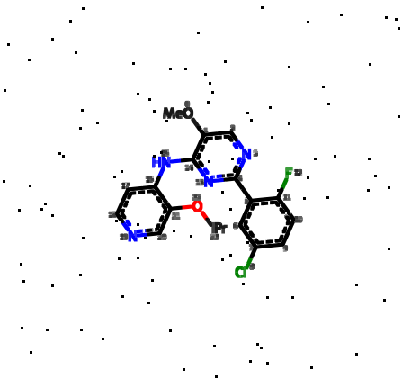 COc1cnc(-c2cc(Cl)ccc2F)nc1Nc1ccncc1OC(C)C